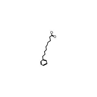 [O]C(=O)CCCCCCCCCc1ccccc1